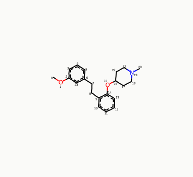 COc1cccc(CCc2ccccc2OC2CCN(C)CC2)c1